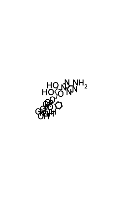 Nc1ncnc2c1ncn2C1OC(COP(=O)(OP(=O)(O)OP(=O)(O)O)c2ccccc2)C(O)C1O